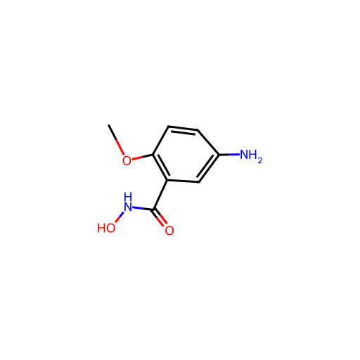 COc1ccc(N)cc1C(=O)NO